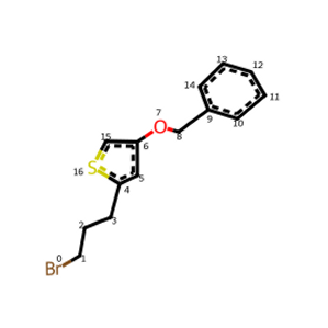 BrCCCc1cc(OCc2ccccc2)cs1